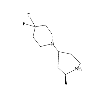 C[C@H]1CC(N2CCC(F)(F)CC2)CCN1